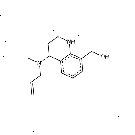 C=CCN(C)C1CCNc2c(CO)cccc21